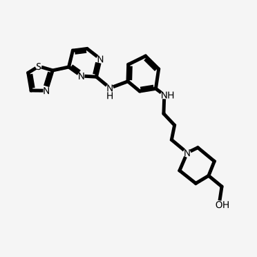 OCC1CCN(CCCNc2cccc(Nc3nccc(-c4nccs4)n3)c2)CC1